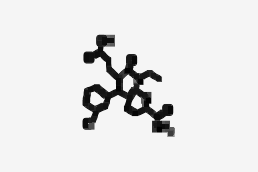 CCn1c(=O)c(CCC(=O)O)c(-c2cccc(Cl)c2)c2ccc(C(N)=O)nc21